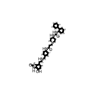 O=C(CCN1CCC(NC(=O)Nc2ccccc2-c2ccccc2)CC1)Nc1ccc(CNCCc2ccc(O)c3[nH]c(=O)sc23)cc1